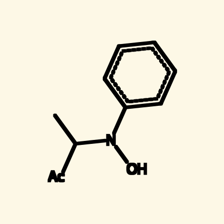 CC(=O)C(C)N(O)c1ccccc1